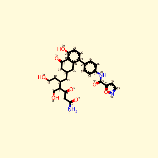 NC(=O)CC(=O)C(CO)C(CCO)CC1CC(=O)c2c(O)ccc(-c3ccc(NC(=O)c4ccno4)cc3)c2C1